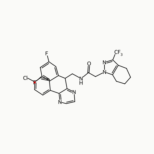 O=C(Cn1nc(C(F)(F)F)c2c1CCCC2)NCC(c1cc(F)cc(F)c1)c1nccnc1-c1ccc(Cl)cc1